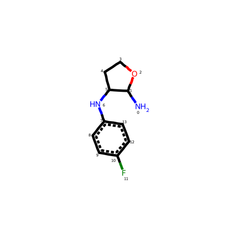 N[C]1OCCC1Nc1ccc(F)cc1